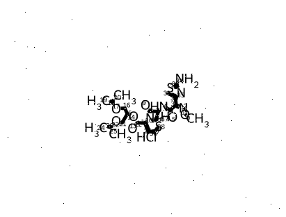 CO/N=C(\C(=O)NC1C(=O)N2C(C(=O)OC(COC(C)C)COC(C)C)=CCS[C@H]12)c1csc(N)n1.Cl